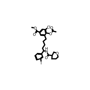 COC(=O)c1cc(Cl)c(OC(C)=O)c(CCCCC(NC(=O)C2CCCOC2)c2cccc(I)c2)c1